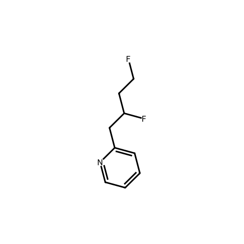 FCCC(F)Cc1ccccn1